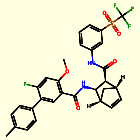 COc1cc(F)c(-c2ccc(C)cc2)cc1C(=O)N[C@H]1[C@@H](C(=O)Nc2cccc(S(=O)(=O)C(F)(F)F)c2)[C@@H]2C=C[C@H]1C2